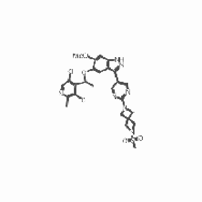 COc1cc2[nH]nc(-c3cnc(N4CC5(C4)CN(S(C)(=O)=O)C5)nc3)c2cc1OC(C)c1c(Cl)cnc(C)c1Cl